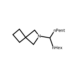 CCCCCCC(CCCCC)N1CC2(CCC2)C1